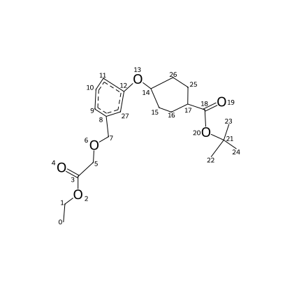 CCOC(=O)COCc1cccc(OC2CCC(C(=O)OC(C)(C)C)CC2)c1